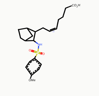 COc1ccc(S(=O)(=O)NC2C3CCC(C3)C2C/C=C\CCCC(=O)O)cc1